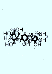 C[C@H](O)C(CO)O[C@H](O[C@@H]1C(N)C[C@@H](N)[C@@H](O[C@@H]2O[C@H](CN)C(O)[C@@H]2O)C1O)[C@@H](N)CO